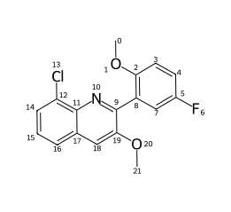 COc1ccc(F)cc1-c1nc2c(Cl)cccc2cc1OC